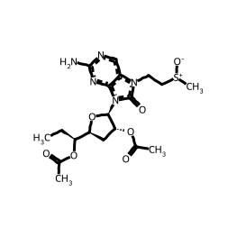 CC[C@H](OC(C)=O)[C@@H]1C[C@@H](OC(C)=O)[C@H](n2c(=O)n(CC[S+](C)[O-])c3cnc(N)nc32)O1